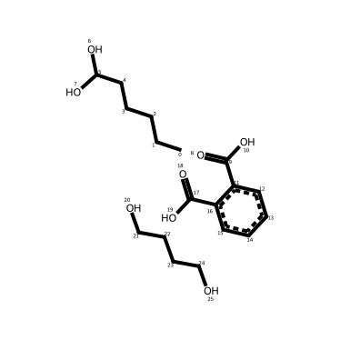 CCCCCC(O)O.O=C(O)c1ccccc1C(=O)O.OCCCCO